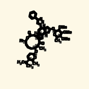 CC[C@H]1CCC[C@H](O[C@H]2CC[C@H](N(C)C)C(C)O2)[C@@H](C)C(=O)C2=C[C@@H]3[C@@H](C=C(n4cc(-c5ccccc5)nn4)[C@@H]4C[C@@H](O[C@@H]5OC(C)[C@H](OC)C(OC)C5OC)C[C@@H]34)[C@@H]2CC(=O)O1